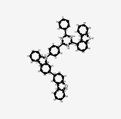 c1ccc(-c2nc(-c3ccc(-n4c5ccccc5c5ccc(-c6ccc7oc8ccccc8c7c6)cc54)cc3)nc(-c3cccc4sc5ccccc5c34)n2)cc1